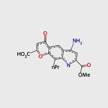 CCCc1c2nc(C(=O)OC)cc(N)c2cc2c(=O)cc(C(=O)O)oc12